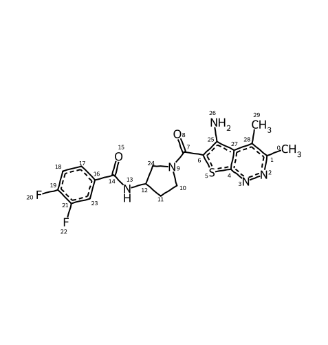 Cc1nnc2sc(C(=O)N3CCC(NC(=O)c4ccc(F)c(F)c4)C3)c(N)c2c1C